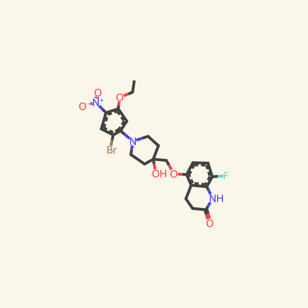 CCOc1cc(N2CCC(O)(COc3ccc(F)c4c3CCC(=O)N4)CC2)c(Br)cc1[N+](=O)[O-]